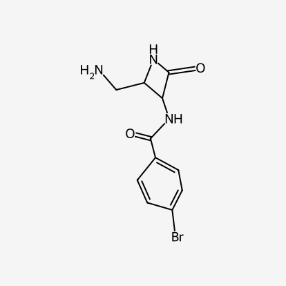 NCC1NC(=O)C1NC(=O)c1ccc(Br)cc1